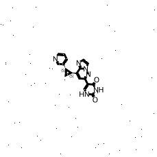 O=c1[nH]cc(-c2cc([C@H]3C[C@@H]3c3cccnc3)c3nccn3n2)c(=O)[nH]1